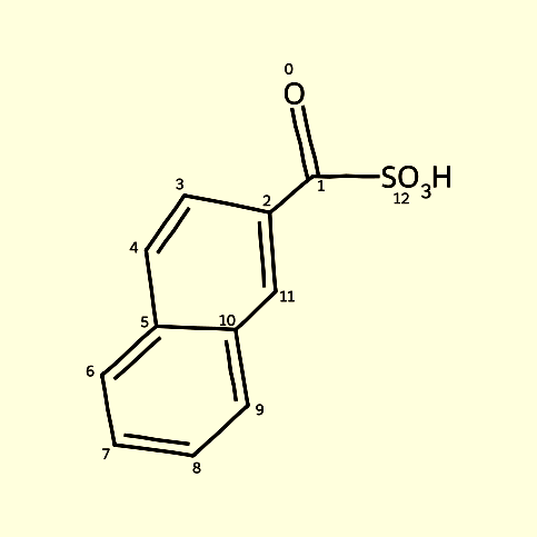 O=C(c1ccc2ccccc2c1)S(=O)(=O)O